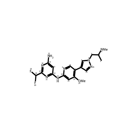 CNC(C)Cn1cc(-c2cnc(Nc3cc(N)nc(C(F)F)n3)cc2OC)cn1